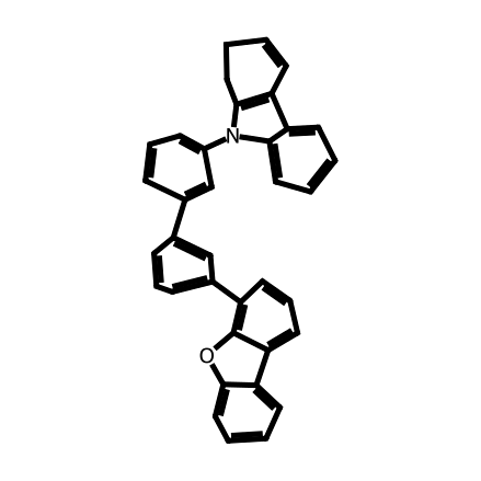 C1=Cc2c(n(-c3cccc(-c4cccc(-c5cccc6c5oc5ccccc56)c4)c3)c3ccccc23)CC1